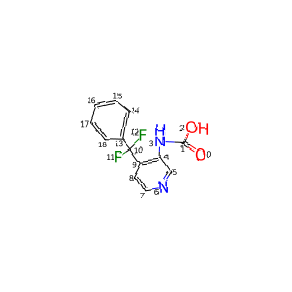 O=C(O)Nc1cnccc1C(F)(F)c1ccccc1